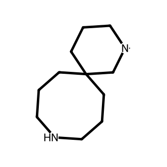 C1C[N]CC2(C1)CCCNCCC2